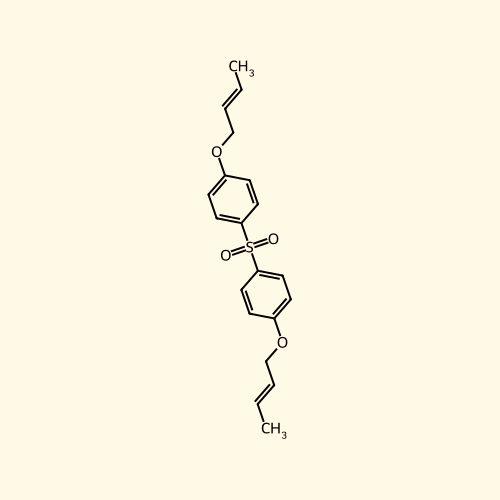 CC=CCOc1ccc(S(=O)(=O)c2ccc(OCC=CC)cc2)cc1